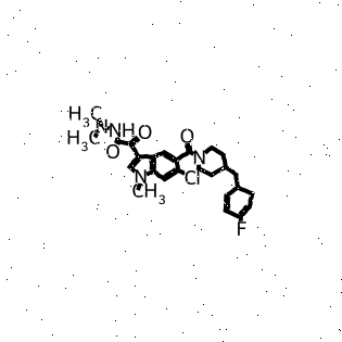 CN(C)NC(=O)C(=O)c1cn(C)c2cc(Cl)c(C(=O)N3CCC(CC4C=CC(F)=CC4)CC3)cc12